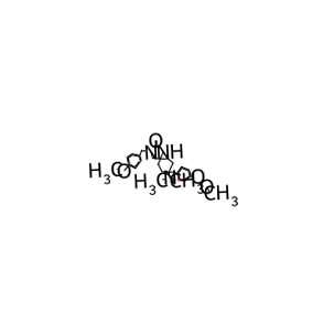 COCOc1ccc(C2(N(C)C)CCC3(CC2)CN(Cc2ccc(OC)cc2)C(=O)N3)cc1